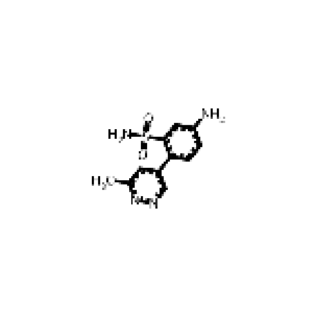 Cc1cc(-c2ccc(N)cc2S(N)(=O)=O)cnn1